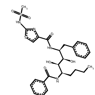 CCCC[C@@H](NC(=O)c1ccccc1)[C@@H](O)[C@H](O)[C@H](Cc1ccccc1)NC(=O)c1csc(NS(C)(=O)=O)n1